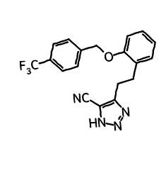 N#Cc1[nH]nnc1CCc1ccccc1OCc1ccc(C(F)(F)F)cc1